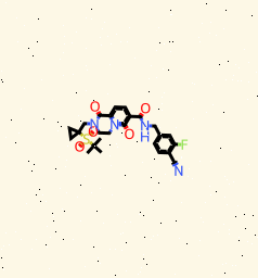 CC(C)(C)S(=O)(=O)C1(CN2CCn3c(ccc(C(=O)NCc4ccc(C#N)c(F)c4)c3=O)C2=O)CC1